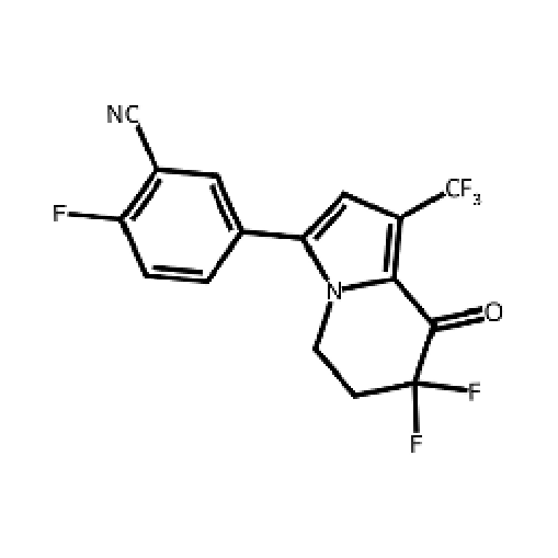 N#Cc1cc(-c2cc(C(F)(F)F)c3n2CCC(F)(F)C3=O)ccc1F